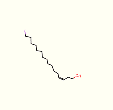 OCC/C=C\CCCCCCCCCCCCI